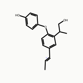 C/C=C/c1ccc(Oc2ccc(O)cc2)c(C(C)CO)c1